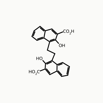 O=C(O)c1cc2ccccc2c(CCc2c(O)c(C(=O)O)cc3ccccc23)c1O